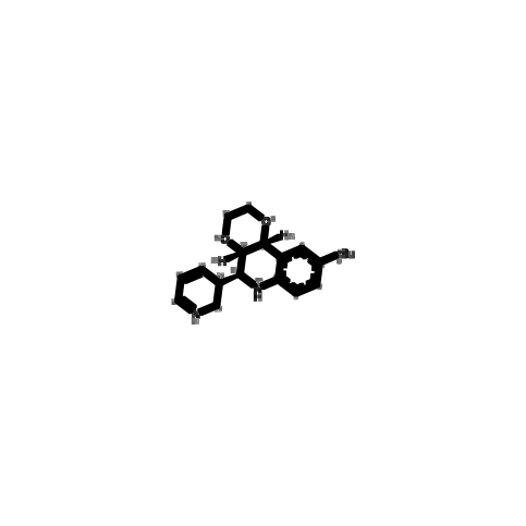 CC(C)(C)c1ccc2c(c1)[C@H]1OCCO[C@H]1[C@H](C1C=CC=NC1)N2